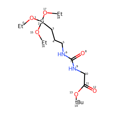 CCO[Si](CCCNC(=O)NCC(=O)OC(C)(C)C)(OCC)OCC